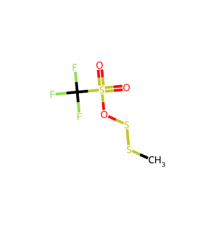 CSSOS(=O)(=O)C(F)(F)F